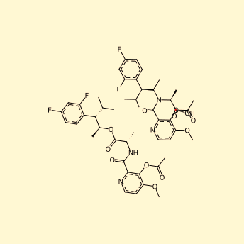 COc1ccnc(C(=O)N(C(C)[C@H](c2ccc(F)cc2F)C(C)C)[C@@H](C)C(=O)O)c1OC(C)=O.COc1ccnc(C(=O)N[C@@H](C)C(=O)O[C@@H](C)[C@H](c2ccc(F)cc2F)C(C)C)c1OC(C)=O